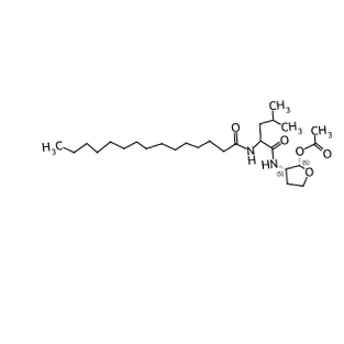 CCCCCCCCCCCCCCC(=O)NC(CC(C)C)C(=O)N[C@H]1CCO[C@H]1OC(C)=O